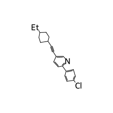 CCC1CCC(C#Cc2ccc(-c3ccc(Cl)cc3)nc2)CC1